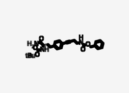 CC(C)(C)OC(=O)N[C@@H](CCc1ccc(C#CCCNC(=O)OCc2ccccc2)cc1)C(N)=O